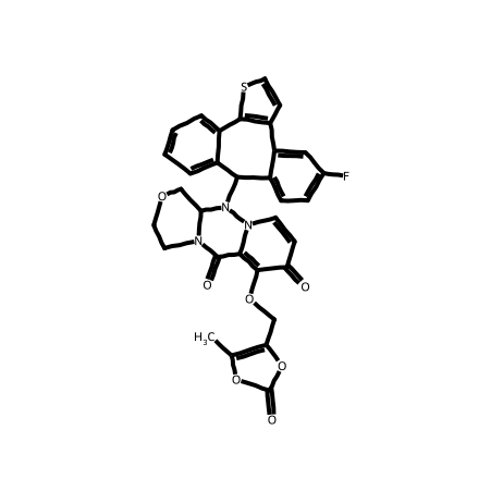 Cc1oc(=O)oc1COc1c2n(ccc1=O)N(C1c3ccc(F)cc3-c3ccsc3-c3ccccc31)C1COCCN1C2=O